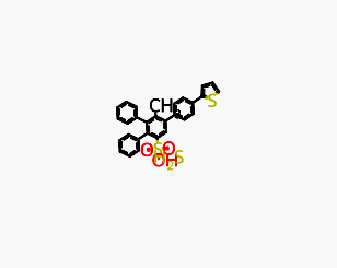 Cc1c(-c2ccc(-c3cccs3)cc2)cc(S(=O)(=O)O)c(-c2ccccc2)c1-c1ccccc1.S